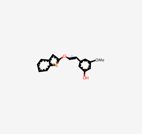 COc1cc(O)cc(/C=C/Oc2cc3ccccc3s2)c1